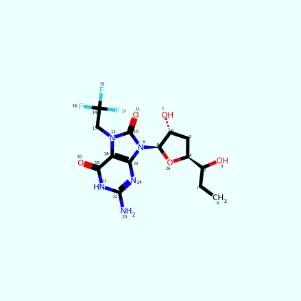 CCC(O)[C@@H]1C[C@@H](O)[C@H](n2c(=O)n(CC(F)(F)F)c3c(=O)[nH]c(N)nc32)O1